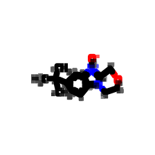 CC(C)(C)c1ccc2c(c1)[n+]([O-])c1n2CCOC1